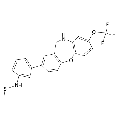 CSNc1cccc(-c2ccc3c(c2)CNc2cc(OC(F)(F)F)ccc2O3)c1